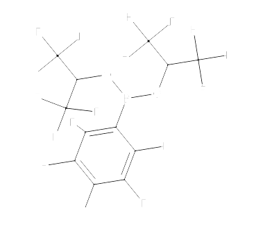 Fc1c(F)c(F)c(B(OC(C(F)(F)F)C(F)(F)F)OC(C(F)(F)F)C(F)(F)F)c(F)c1F